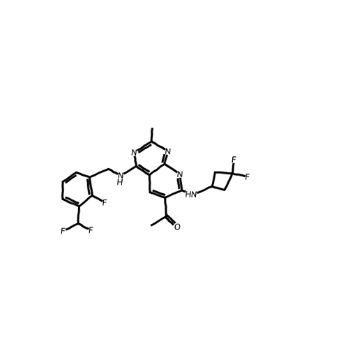 CC(=O)c1cc2c(NCc3cccc(C(F)F)c3F)nc(C)nc2nc1NC1CC(F)(F)C1